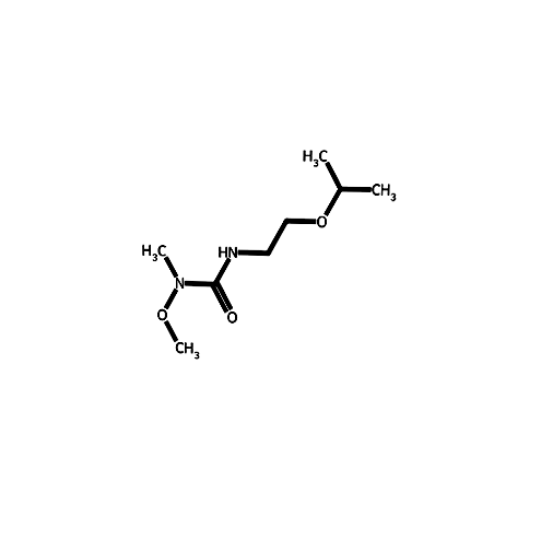 CON(C)C(=O)NCCOC(C)C